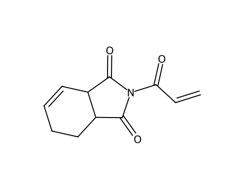 C=CC(=O)N1C(=O)C2C=CCCC2C1=O